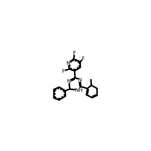 CC1CC=CC=C1C1=NC(c2cc(F)c(F)nc2F)=NC(c2ccccc2)N1